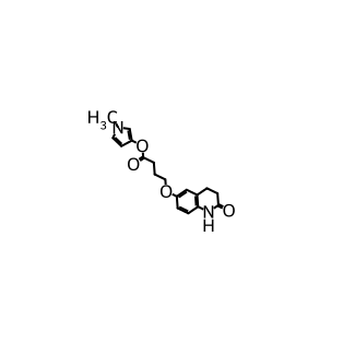 Cn1ccc(OC(=O)CCCOc2ccc3c(c2)CCC(=O)N3)c1